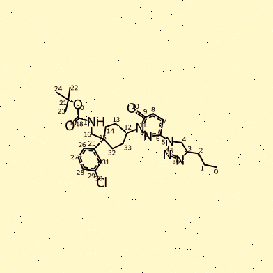 CCCC1CN(c2ccc(=O)n(C3CCC(CNC(=O)OC(C)(C)C)(c4cccc(Cl)c4)CC3)n2)N=N1